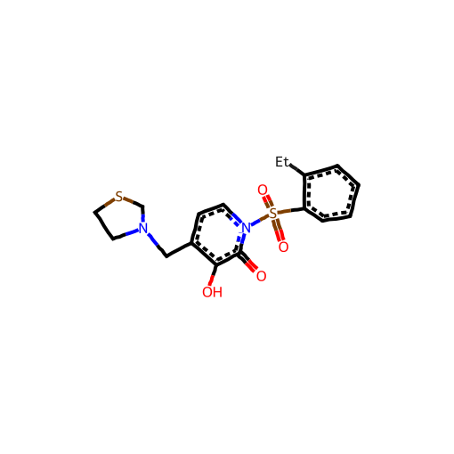 CCc1ccccc1S(=O)(=O)n1ccc(CN2CCSC2)c(O)c1=O